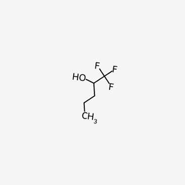 CCCC(O)C(F)(F)F